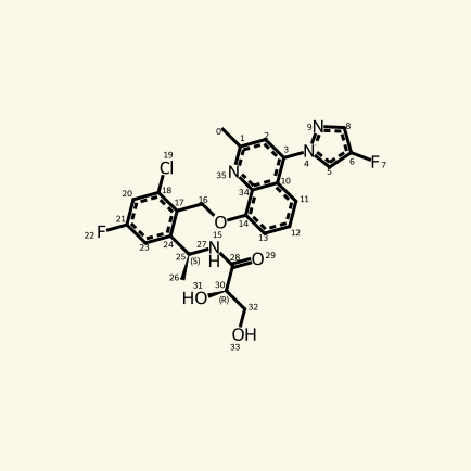 Cc1cc(-n2cc(F)cn2)c2cccc(OCc3c(Cl)cc(F)cc3[C@H](C)NC(=O)[C@H](O)CO)c2n1